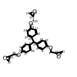 c1cc(C(c2ccc(OCC3CO3)cc2)c2ccc(OC[C@@H]3CO3)cc2)ccc1OCC1CO1